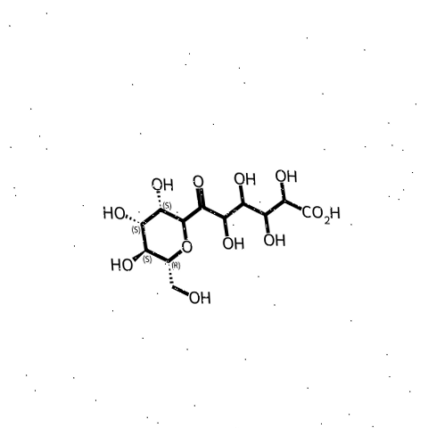 O=C(O)C(O)C(O)C(O)C(O)C(=O)C1O[C@H](CO)[C@@H](O)[C@H](O)[C@@H]1O